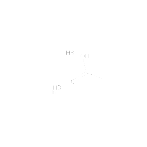 Br.Br.CC(=O)O.[InH3]